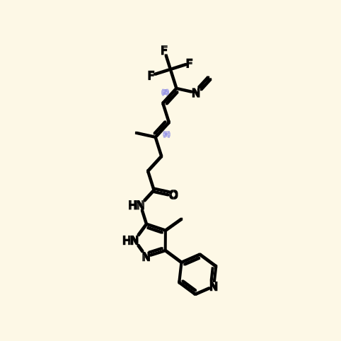 C=N/C(=C\C=C(/C)CCC(=O)Nc1[nH]nc(-c2ccncc2)c1C)C(F)(F)F